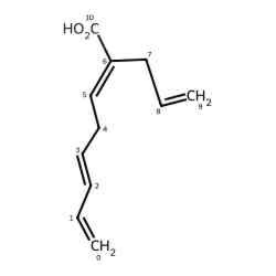 C=CC=CCC=C(CC=C)C(=O)O